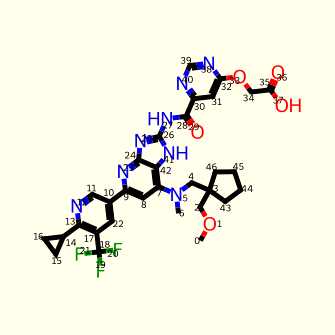 COCC1(CN(C)c2cc(-c3cnc(C4CC4)c(C(F)(F)F)c3)nc3nc(NC(=O)c4cc(OCC(=O)O)ncn4)[nH]c23)CCCC1